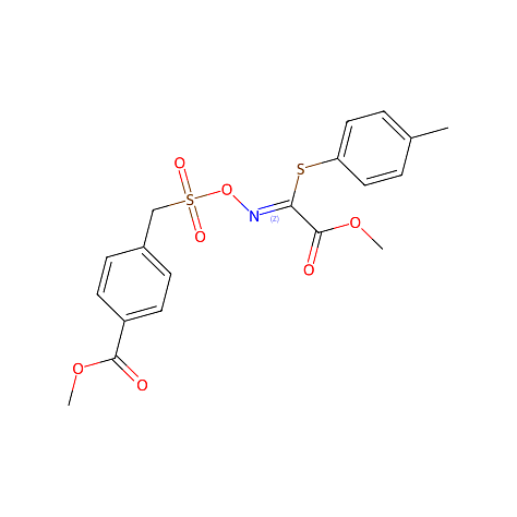 COC(=O)/C(=N/OS(=O)(=O)Cc1ccc(C(=O)OC)cc1)Sc1ccc(C)cc1